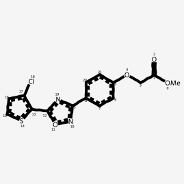 COC(=O)COc1ccc(-c2noc(-c3sccc3Cl)n2)cc1